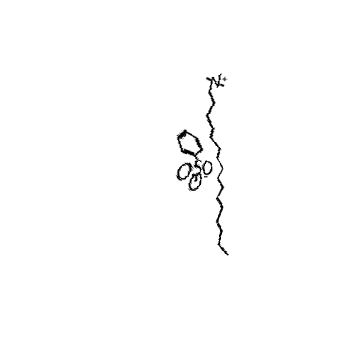 CCCCCCCCCCCCCCCC[N+](C)(C)C.O=S(=O)([O-])c1ccccc1